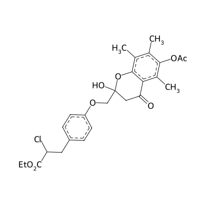 CCOC(=O)C(Cl)Cc1ccc(OCC2(O)CC(=O)c3c(C)c(OC(C)=O)c(C)c(C)c3O2)cc1